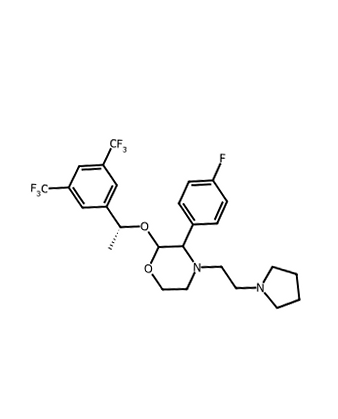 C[C@@H](OC1OCCN(CCN2CCCC2)C1c1ccc(F)cc1)c1cc(C(F)(F)F)cc(C(F)(F)F)c1